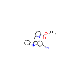 CCOC(=O)c1cccc(Cc2c(-c3ccccc3)[nH]c3cc(C#N)ccc23)n1